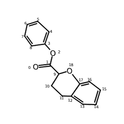 O=C(Oc1ccccc1)C1CCc2ccccc2O1